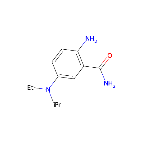 CCN(c1ccc(N)c(C(N)=O)c1)C(C)C